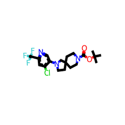 CC(C)(C)OC(=O)N1CCC2(CC1)CCN(c1cnc(C(F)(F)F)cc1Cl)C2